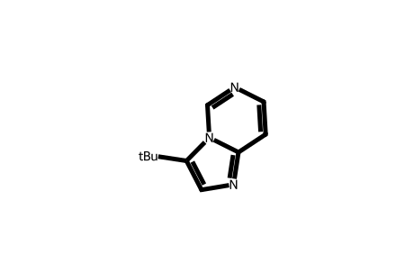 CC(C)(C)c1cnc2ccncn12